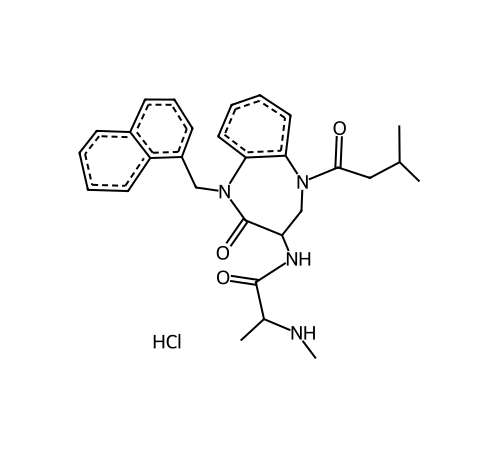 CNC(C)C(=O)NC1CN(C(=O)CC(C)C)c2ccccc2N(Cc2cccc3ccccc23)C1=O.Cl